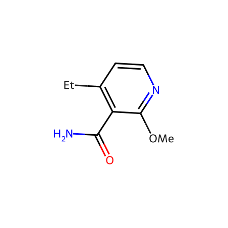 CCc1ccnc(OC)c1C(N)=O